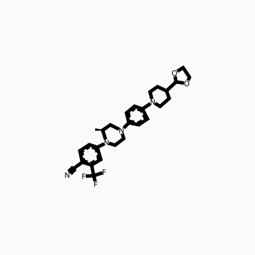 C[C@H]1CN(c2ccc(N3CCC(C4OCCO4)CC3)cc2)CCN1c1ccc(C#N)c(C(F)(F)F)c1